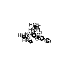 COc1cc(S(=O)(=O)N2CCC(N3CCOCC3)CC2)ccc1Nc1nc(NC2CCC2)c2cc[nH]c2n1.O=C(O)C(F)(F)F